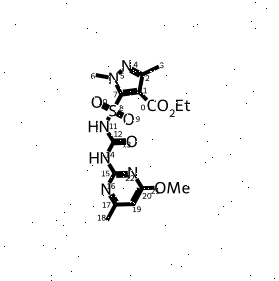 CCOC(=O)c1c(C)nn(C)c1S(=O)(=O)NC(=O)Nc1nc(C)cc(OC)n1